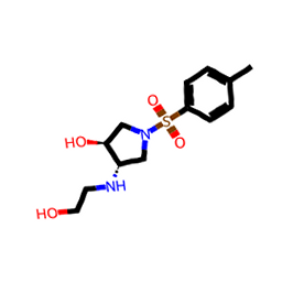 Cc1ccc(S(=O)(=O)N2C[C@H](NCCO)[C@@H](O)C2)cc1